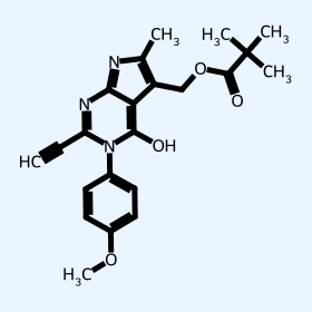 C#Cc1nc2nc(C)c(COC(=O)C(C)(C)C)c-2c(O)n1-c1ccc(OC)cc1